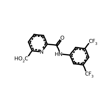 O=C(O)c1cccc(C(=O)Nc2cc(C(F)(F)F)cc(C(F)(F)F)c2)n1